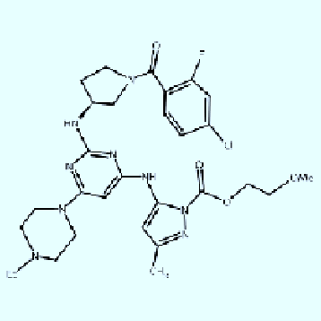 CCN1CCN(c2cc(Nc3cc(C)nn3C(=O)OCCOC)nc(N[C@H]3CCN(C(=O)c4ccc(Cl)cc4F)C3)n2)CC1